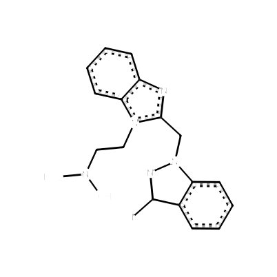 CN(C)CCn1c(CN2NC(I)c3ccccc32)nc2ccccc21